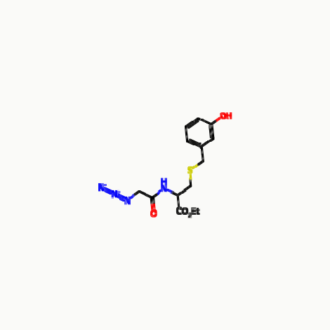 CCOC(=O)C(CSCc1cccc(O)c1)NC(=O)CN=[N+]=[N-]